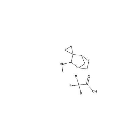 CNC1C2CCC(C2)C12CC2.O=C(O)C(F)(F)F